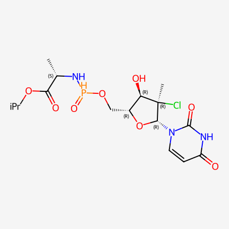 CC(C)OC(=O)[C@H](C)N[PH](=O)OC[C@H]1O[C@@H](n2ccc(=O)[nH]c2=O)[C@](C)(Cl)[C@@H]1O